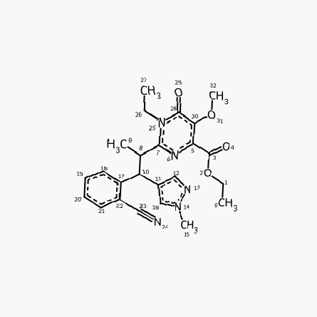 CCOC(=O)c1nc(C(C)C(c2cnn(C)c2)c2ccccc2C#N)n(CC)c(=O)c1OC